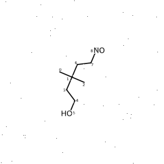 CC(C)(CCO)CCN=O